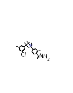 C=C(N)c1ccc(/C(=C/C)CC(C)(c2cc(C)cc(Cl)c2)C(C)(C)C)cc1C